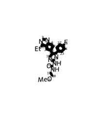 CCc1ncnc2ccc(-c3cnc(NC(=O)NCCOC)nc3-c3ccc(F)cc3)cc12